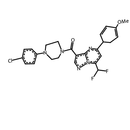 COC1=CCC(c2cc(C(F)F)n3ncc(C(=O)N4CCN(c5ccc(Cl)cc5)CC4)c3n2)C=C1